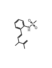 C=C(C)C(C)/C=C/c1ccccc1NS(C)(=O)=O